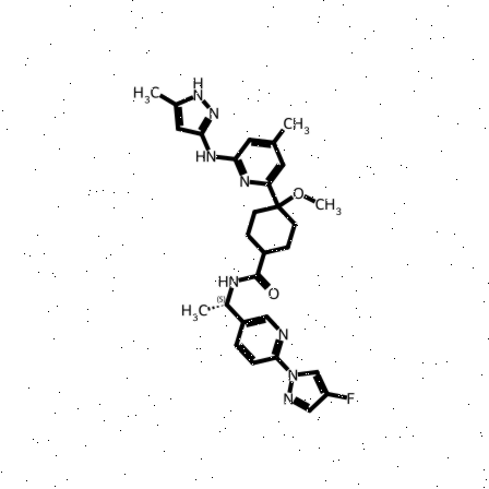 COC1(c2cc(C)cc(Nc3cc(C)[nH]n3)n2)CCC(C(=O)N[C@@H](C)c2ccc(-n3cc(F)cn3)nc2)CC1